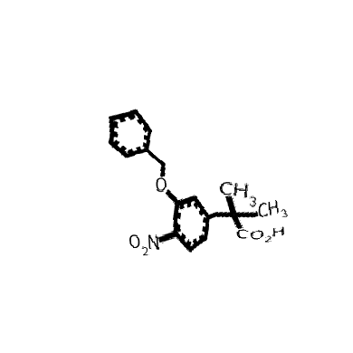 CC(C)(C(=O)O)c1ccc([N+](=O)[O-])c(OCc2ccccc2)c1